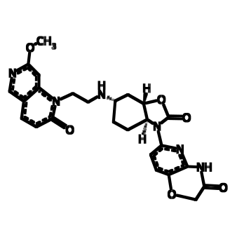 COc1cc2c(ccc(=O)n2CCN[C@H]2CC[C@H]3[C@H](C2)OC(=O)N3c2ccc3c(n2)NC(=O)CO3)cn1